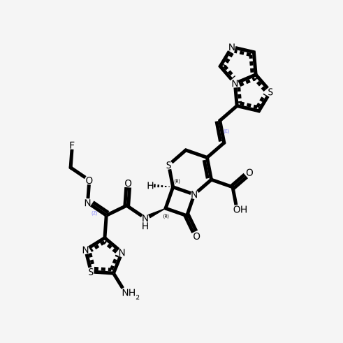 Nc1nc(/C(=N/OCF)C(=O)N[C@@H]2C(=O)N3C(C(=O)O)=C(/C=C/c4csc5cncn45)CS[C@H]23)ns1